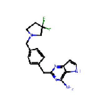 Nc1nc(Cc2ccc(CN3CCC(F)(F)C3)cc2)nc2cc[nH]c12